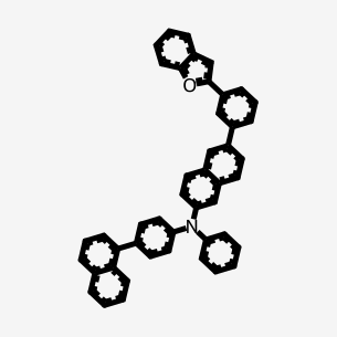 c1ccc(N(c2ccc(-c3cccc4ccccc34)cc2)c2ccc3cc(-c4cccc(-c5cc6ccccc6o5)c4)ccc3c2)cc1